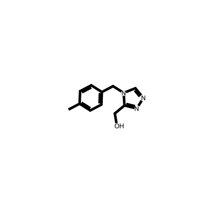 Cc1ccc(Cn2cnnc2CO)cc1